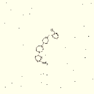 Nc1cccc(N2CCCN(C3CCN(Cc4ccccc4Cl)CC3)CC2)n1